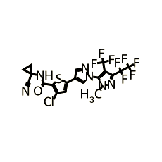 Cn1nc(C(F)(F)C(F)(F)F)c(C(F)(F)F)c1-n1cc(-c2cc(Cl)c(C(=O)NC3(C#N)CC3)s2)cn1